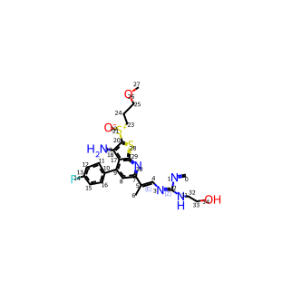 C=N/C(=N\C=C(/C)c1cc(-c2ccc(F)cc2)c2c(N)c([S+]([O-])CCCOC)sc2n1)NCCO